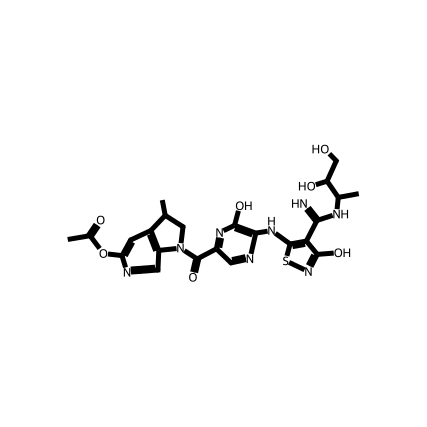 CC(=O)Oc1cc2c(cn1)N(C(=O)c1cnc(Nc3snc(O)c3C(=N)NC(C)C(O)CO)c(O)n1)CC2C